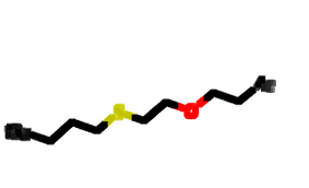 CC(=O)CCOCCSCCCC(C)(C)C